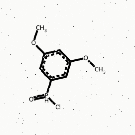 COc1cc(OC)cc([PH](=O)Cl)c1